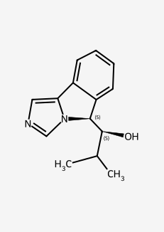 CC(C)[C@H](O)[C@@H]1c2ccccc2-c2cncn21